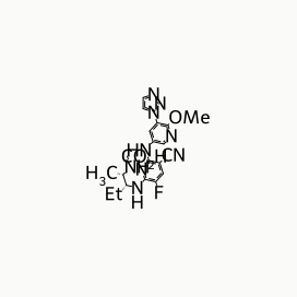 CC[C@@H](Nc1nc(Nc2cnc(OC)c(-n3ccnn3)c2)c(C#N)cc1F)[C@H](C)NC(=O)O